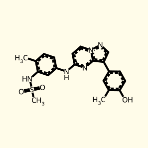 Cc1cc(-c2cnn3ccc(Nc4ccc(C)c(NS(C)(=O)=O)c4)nc23)ccc1O